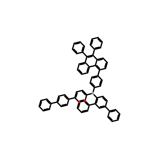 c1ccc(-c2ccc(-c3ccc(N(c4ccc(-c5cccc6c(-c7ccccc7)c(-c7ccccc7)c7ccccc7c56)cc4)c4ccc(-c5ccccc5)cc4-c4ccccc4)cc3)cc2)cc1